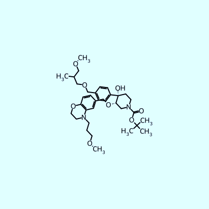 COCCCN1CCOc2ccc(CO[C@H]3CN(C(=O)OC(C)(C)C)CC[C@]3(O)c3ccc(COCC(C)COC)cc3)cc21